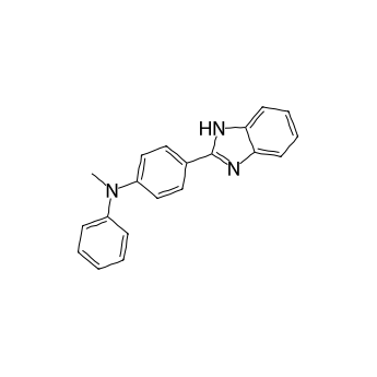 CN(c1ccccc1)c1ccc(-c2nc3ccccc3[nH]2)cc1